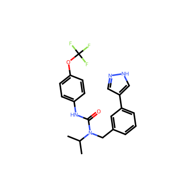 CC(C)N(Cc1cccc(-c2cn[nH]c2)c1)C(=O)Nc1ccc(OC(F)(F)F)cc1